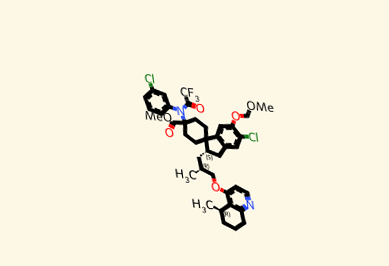 COCOc1cc2c(cc1Cl)C[C@H](C[C@@H](C)COc1ccnc3c1[C@H](C)CCC3)C21CCC(C(=O)OC)(N(C(=O)C(F)(F)F)c2cccc(Cl)c2)CC1